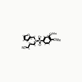 COc1ccc(S(=O)(=O)N(CCCC#N)Cc2ccco2)cc1OC